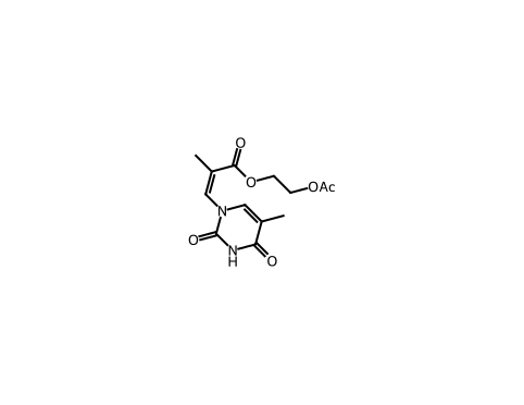 CC(=O)OCCOC(=O)C(C)=Cn1cc(C)c(=O)[nH]c1=O